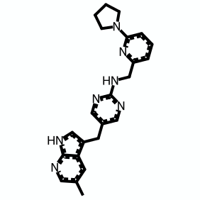 Cc1cnc2[nH]cc(Cc3cnc(NCc4cccc(N5CCCC5)n4)nc3)c2c1